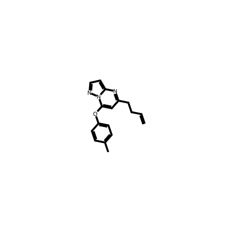 C=CCCc1cc(Oc2ccc(C)cc2)n2nccc2n1